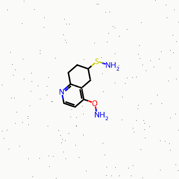 NOc1ccnc2c1CC(SN)CC2